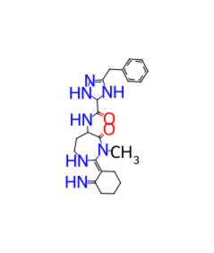 CN1C(=O)C(NC(=O)C2NN=C(Cc3ccccc3)N2)CCN/C1=C1/CCCCC1=N